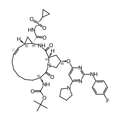 CC(C)(C)OC(=O)N[C@H]1CCCCC/C=C\[C@@H]2C[C@@]2(C(=O)NS(=O)(=O)C2CC2)NC(=O)[C@@H]2C[C@@H](Oc3cc(N4CCCC4)nc(Nc4ccc(F)cc4)n3)CN2C1=O